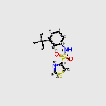 CC(C)(C)c1cccc(NS(=O)(=O)c2cscn2)c1